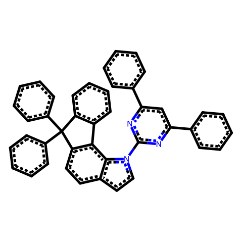 c1ccc(-c2cc(-c3ccccc3)nc(-n3ccc4ccc5c(c43)-c3ccccc3C5(c3ccccc3)c3ccccc3)n2)cc1